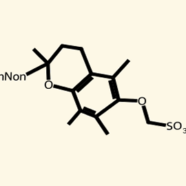 CCCCCCCCCC1(C)CCc2c(C)c(OCS(=O)(=O)O)c(C)c(C)c2O1